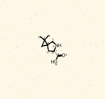 CC1(C)CC12CN[C@H](C(=O)O)C2